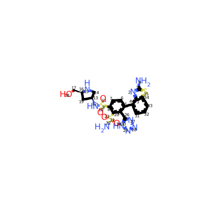 Nc1nc2c(-c3ccc(S(=O)(=O)N[C@@H]4CN[C@H](CO)C4)c(S(N)(=O)=O)c3-c3nnn[nH]3)cccc2s1